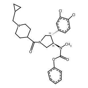 CN(C(=O)Oc1ccccc1)[C@H]1CN(C(=O)C2CCN(CC3CC3)CC2)C[C@@H]1c1ccc(Cl)c(Cl)c1